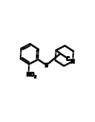 O=[N+]([O-])c1ccccc1SC1CN2CCC1CC2